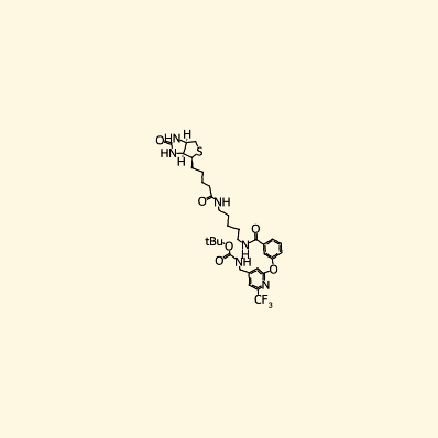 CC(C)(C)OC(=O)NCc1cc(Oc2cccc(C(=O)NCCCCCNC(=O)CCCC[C@@H]3SC[C@@H]4NC(=O)N[C@@H]43)c2)nc(C(F)(F)F)c1